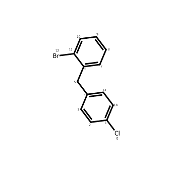 Clc1ccc(Cc2ccccc2Br)cc1